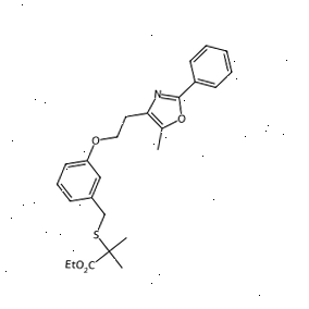 CCOC(=O)C(C)(C)SCc1cccc(OCCc2nc(-c3ccccc3)oc2C)c1